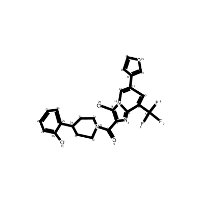 O=C(c1nc2c(C(F)(F)F)cc(-c3ccoc3)cn2c1Cl)N1CCC(c2ccccc2Cl)CC1